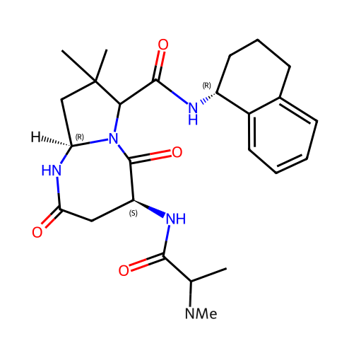 CNC(C)C(=O)N[C@H]1CC(=O)N[C@H]2CC(C)(C)C(C(=O)N[C@@H]3CCCc4ccccc43)N2C1=O